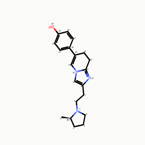 C[C@@H]1CCCN1CCc1cn2c(n1)CCC(c1ccc(O)cc1)=C2